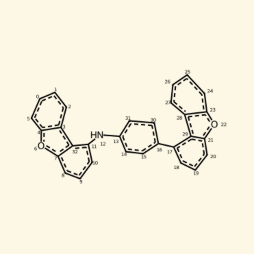 c1ccc2c(c1)oc1cccc(Nc3ccc(-c4cccc5oc6ccccc6c45)cc3)c12